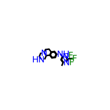 Cc1cc(Nc2ccc3c(c2)CCN2CCNCC32)nc(C(F)(F)F)n1